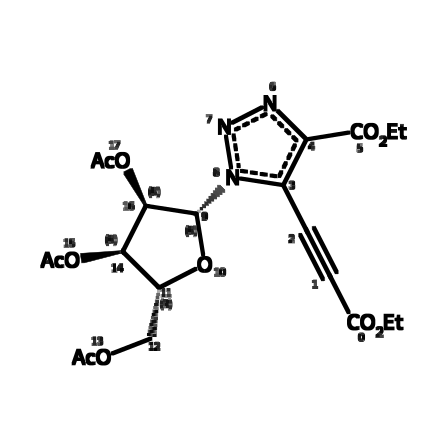 CCOC(=O)C#Cc1c(C(=O)OCC)nnn1[C@@H]1O[C@H](COC(C)=O)[C@@H](OC(C)=O)[C@H]1OC(C)=O